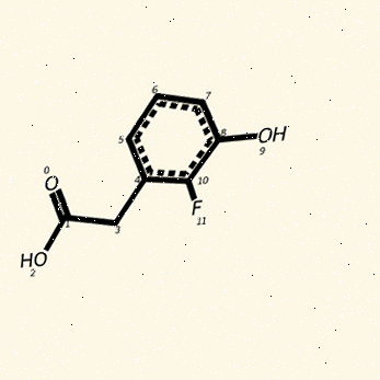 O=C(O)Cc1cccc(O)c1F